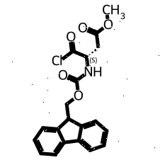 COC(=O)C[C@H](NC(=O)OCC1c2ccccc2-c2ccccc21)C(=O)Cl